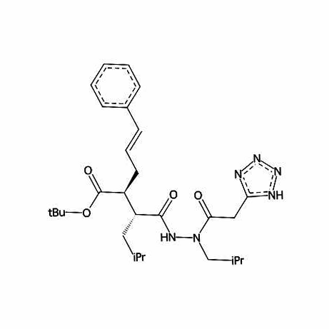 CC(C)C[C@@H](C(=O)NN(CC(C)C)C(=O)Cc1nnn[nH]1)[C@H](CC=Cc1ccccc1)C(=O)OC(C)(C)C